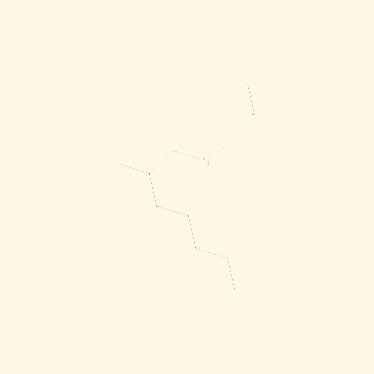 CC=C=NCC(C)C(C)CCCC